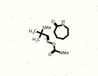 CNC(=O)O/N=C/C(C)(C)SC.O=C1CCCCCN1